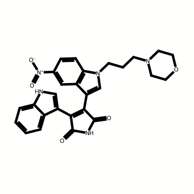 O=C1NC(=O)C(c2cn(CCCN3CCOCC3)c3ccc([N+](=O)[O-])cc23)=C1c1c[nH]c2ccccc12